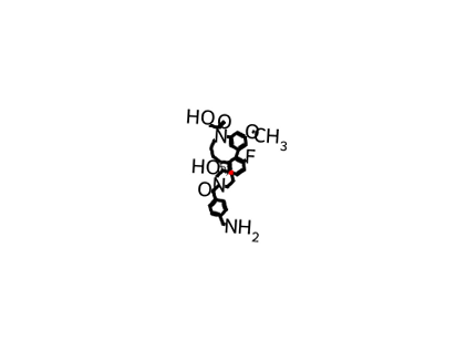 COc1cc2cc(c1)N(C(=O)CO)CCCC(O)([C@@H]1CCCN(C(=O)c3ccc(CN)cc3)C1)c1cccc(F)c1-2